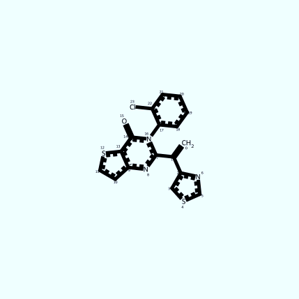 C=C(c1cscn1)c1nc2ccsc2c(=O)n1-c1ccccc1Cl